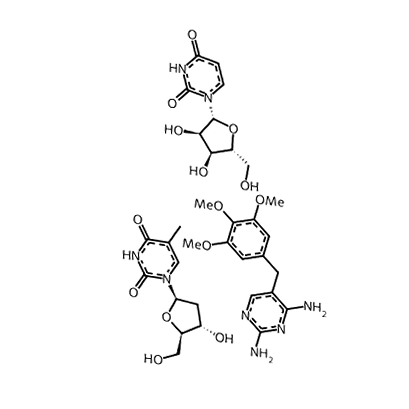 COc1cc(Cc2cnc(N)nc2N)cc(OC)c1OC.Cc1cn([C@H]2C[C@H](O)[C@@H](CO)O2)c(=O)[nH]c1=O.O=c1ccn([C@@H]2O[C@H](CO)[C@@H](O)[C@H]2O)c(=O)[nH]1